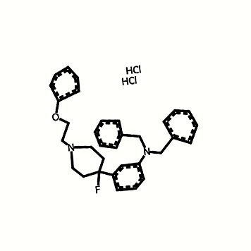 Cl.Cl.FC1(c2cccc(N(Cc3ccccc3)Cc3ccccc3)c2)CCN(CCOc2ccccc2)CC1